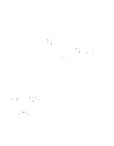 CN(C)C(=O)C1CCN(Cc2ccc(CCNC(=O)O)cc2)C1